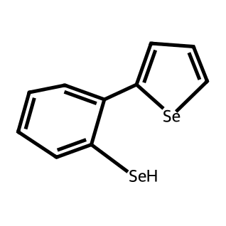 [SeH]c1ccccc1-c1ccc[se]1